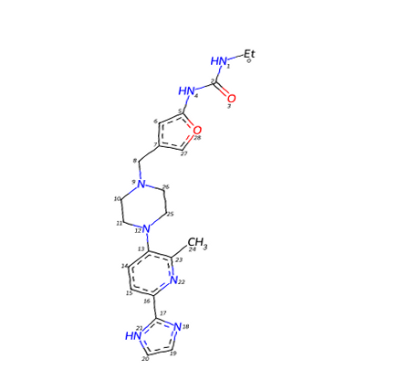 CCNC(=O)Nc1cc(CN2CCN(c3ccc(-c4ncc[nH]4)nc3C)CC2)co1